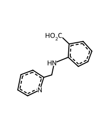 O=C(O)c1ccccc1NCc1ccccn1